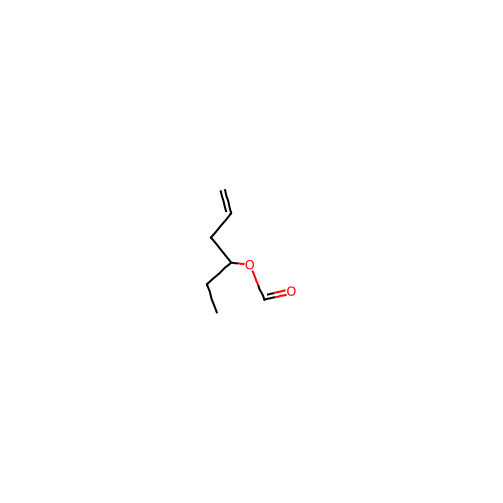 C=CCC(CC)OC=O